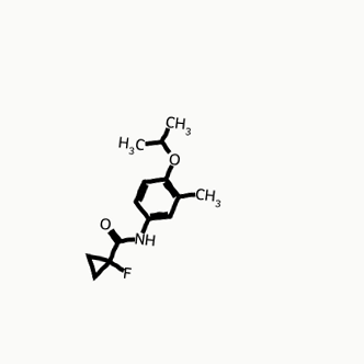 Cc1cc(NC(=O)C2(F)CC2)ccc1OC(C)C